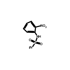 CC(C)S(=O)(=O)Nc1ccccc1[N+](=O)[O-]